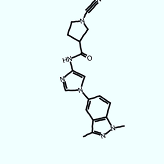 Cc1nn(C)c2ccc(-n3cnc(NC(=O)C4CCN(C#N)C4)c3)cc12